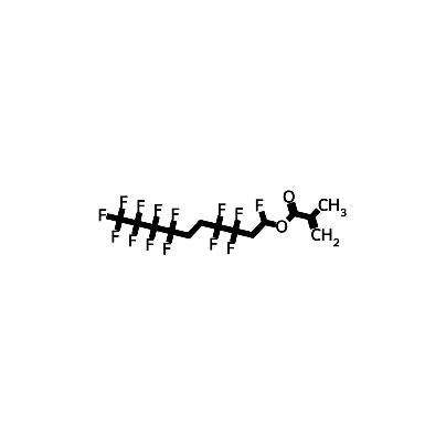 C=C(C)C(=O)OC(F)CC(F)(F)C(F)(F)CCC(F)(F)C(F)(F)C(F)(F)C(F)(F)F